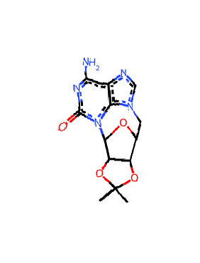 CC1(C)OC2C3Cn4cnc5c(N)nc(=O)n(c54)C(O3)C2O1